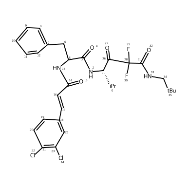 CC(C)[C@H](NC(=O)C(Cc1ccccc1)NC(=O)/C=C/c1ccc(Cl)c(Cl)c1)C(=O)C(F)(F)C(=O)NCC(C)(C)C